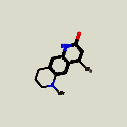 CCCN1CCCc2cc3[nH]c(=O)cc(C(F)(F)F)c3cc21